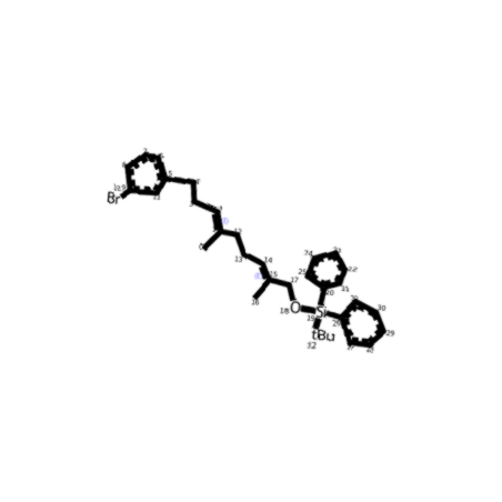 C/C(=C\CCc1cccc(Br)c1)CC/C=C(\C)CO[Si](c1ccccc1)(c1ccccc1)C(C)(C)C